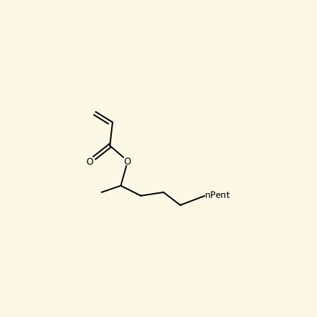 C=CC(=O)OC(C)CCCCCCCC